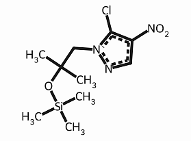 CC(C)(Cn1ncc([N+](=O)[O-])c1Cl)O[Si](C)(C)C